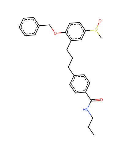 CCCNC(=O)c1ccc(CCCc2cc([S+](C)[O-])ccc2OCc2ccccc2)cc1